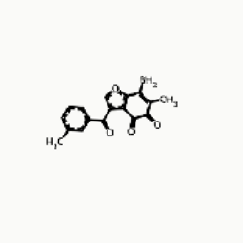 BC1=C(C)C(=O)C(=O)c2c(C(=O)c3cccc(C)c3)coc21